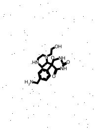 NCc1ccc(C2(C3CNCCN3CCO)C(=O)NC(=O)NC2=O)cc1